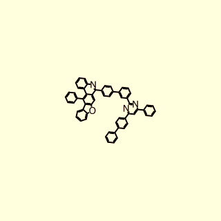 c1ccc(-c2ccc(-c3cc(-c4ccccc4)nc(-c4cccc(-c5ccc(-c6nc7ccccc7c7c(-c8ccccc8)c8c(cc67)oc6ccccc68)cc5)c4)n3)cc2)cc1